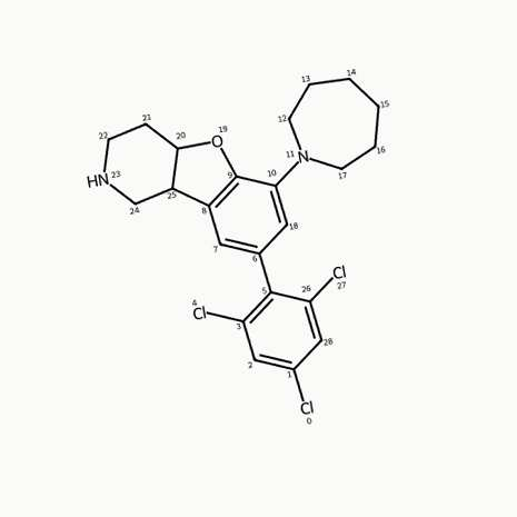 Clc1cc(Cl)c(-c2cc3c(c(N4CCCCCC4)c2)OC2CCNCC32)c(Cl)c1